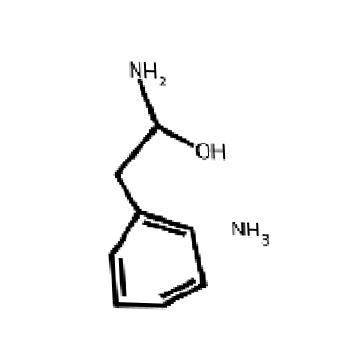 N.NC(O)Cc1ccccc1